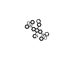 C1=CC2=C(CC1)N(c1ccc3c(-c4ccc5c(c4)CCC=C5)c4cc(N5c6ccccc6Oc6ccccc65)ccc4c(-c4ccccn4)c3c1)c1ccccc1O2